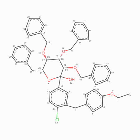 CCOc1ccc(Cc2cc(C3(O)O[C@H](Cc4ccccc4)[C@@H](OCc4ccccc4)[C@H](OCc4ccccc4)[C@H]3OCc3ccccc3)ccc2Cl)cc1